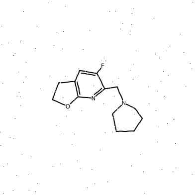 Fc1cc2c(nc1CN1CCCCC1)OCC2